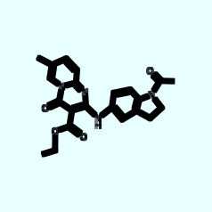 CCOC(=O)c1c(Nc2ccc3c(c2)CCN3C(C)=O)nc2ccc(C)cn2c1=O